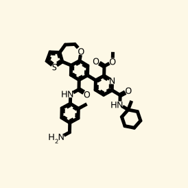 COC(=O)c1nc(C(=O)NC2(C)CCCCC2)ccc1-c1cc2c(cc1C(=O)Nc1ccc(CN)cc1C)-c1sccc1CCO2